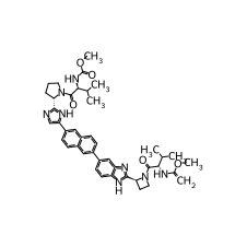 C=C(N[C@H](C(=O)N1CC[C@H]1c1nc2cc(-c3ccc4cc(-c5cnc([C@@H]6CCCN6C(=O)[C@@H](NC(=O)OC)C(C)C)[nH]5)ccc4c3)ccc2[nH]1)C(C)C)OC